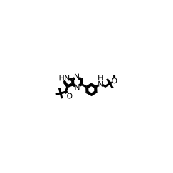 COC(C)(C)CNc1cccc(-c2cnc3[nH]cc(C(=O)C(C)(C)C)c3n2)c1